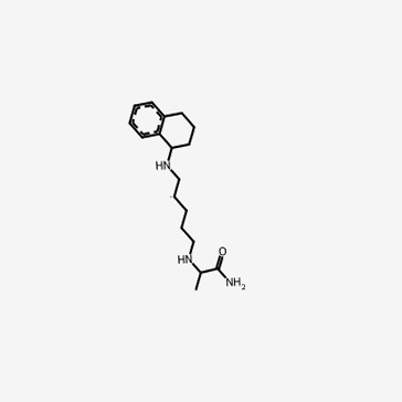 CC(NCCC[CH]CNC1CCCc2ccccc21)C(N)=O